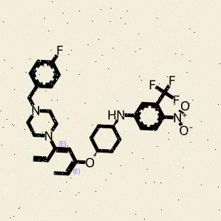 C=C/C(=C\C(=C/C)O[C@H]1CC[C@H](Nc2ccc([N+](=O)[O-])c(C(F)(F)F)c2)CC1)N1CCN(Cc2ccc(F)cc2)CC1